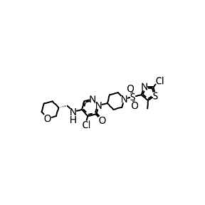 Cc1sc(Cl)nc1S(=O)(=O)N1CCC(n2ncc(NC[C@H]3CCCOC3)c(Cl)c2=O)CC1